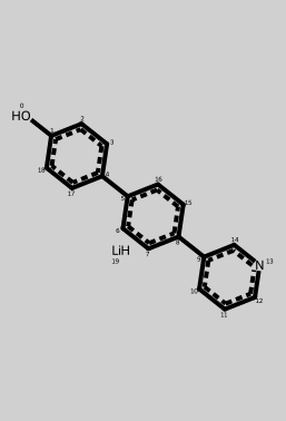 Oc1ccc(-c2ccc(-c3cccnc3)cc2)cc1.[LiH]